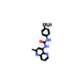 CCOC(=O)c1ccc(NC(=O)Nc2cc(C)nc3cccnc23)cc1